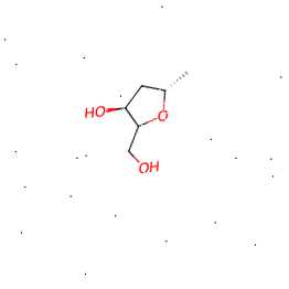 C[C@H]1C[C@H](O)C(CO)O1